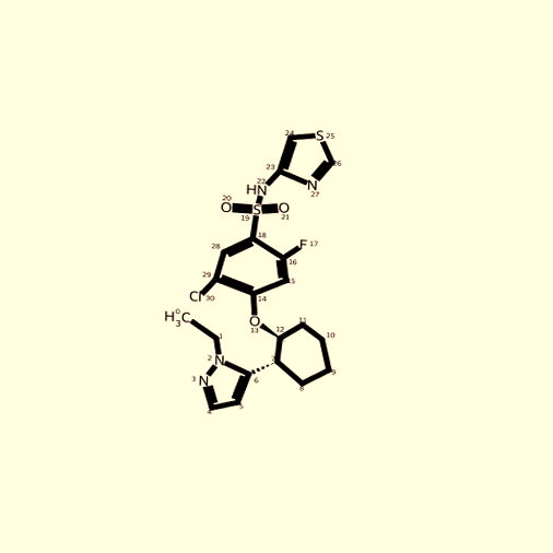 CCn1nccc1[C@H]1CCCC[C@@H]1Oc1cc(F)c(S(=O)(=O)Nc2cscn2)cc1Cl